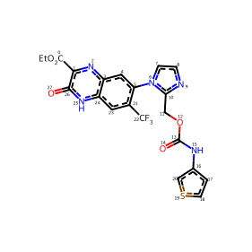 CCOC(=O)c1nc2cc(-n3ccnc3COC(=O)Nc3ccsc3)c(C(F)(F)F)cc2[nH]c1=O